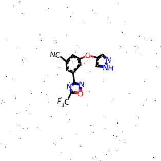 N#Cc1cc(Oc2cn[nH]c2)cc(-c2noc(C(F)(F)F)n2)c1